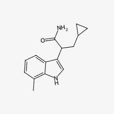 Cc1cccc2c(C(CC3CC3)C(N)=O)c[nH]c12